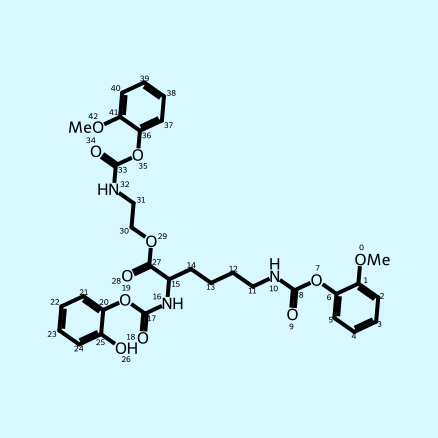 COc1ccccc1OC(=O)NCCCCC(NC(=O)Oc1ccccc1O)C(=O)OCCNC(=O)Oc1ccccc1OC